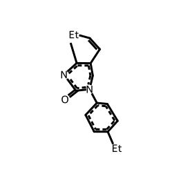 CC/C=C\c1cn(-c2ccc(CC)cc2)c(=O)nc1C